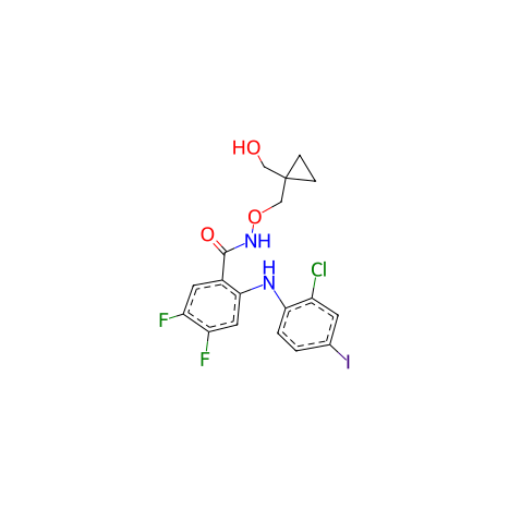 O=C(NOCC1(CO)CC1)c1cc(F)c(F)cc1Nc1ccc(I)cc1Cl